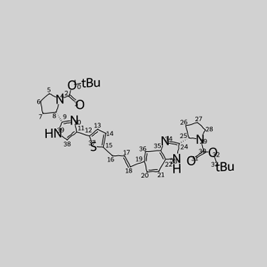 CC(C)(C)OC(=O)N1CCC[C@H]1c1nc(-c2ccc(CC=Cc3ccc4[nH]c([C@@H]5CCCN5C(=O)OC(C)(C)C)nc4c3)s2)c[nH]1